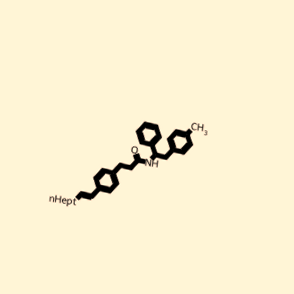 CCCCCCCC=Cc1ccc(CCC(=O)NC(Cc2ccc(C)cc2)c2ccccc2)cc1